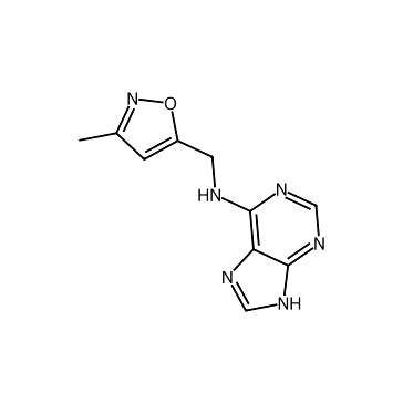 Cc1cc(CNc2ncnc3[nH]cnc23)on1